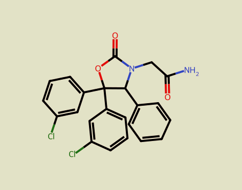 NC(=O)CN1C(=O)OC(c2cccc(Cl)c2)(c2cccc(Cl)c2)C1c1ccccc1